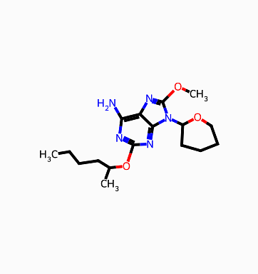 CCCCC(C)Oc1nc(N)c2nc(OC)n(C3CCCCO3)c2n1